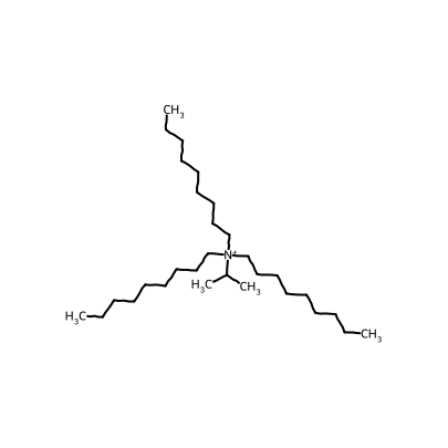 CCCCCCCCC[N+](CCCCCCCCC)(CCCCCCCCC)C(C)C